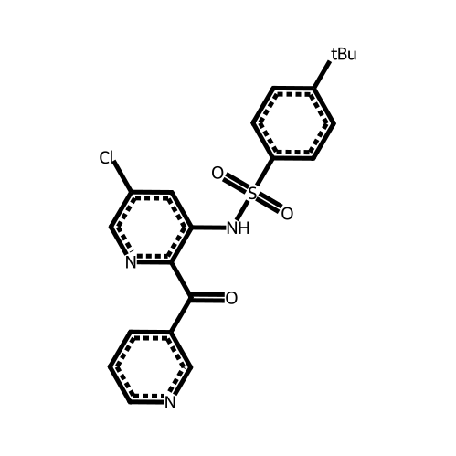 CC(C)(C)c1ccc(S(=O)(=O)Nc2cc(Cl)cnc2C(=O)c2cccnc2)cc1